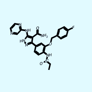 CC[S+]([O-])Nc1ccc(-c2n[nH]c(Nc3cnccn3)c2C(N)=O)cc1OCc1ccc(F)cc1